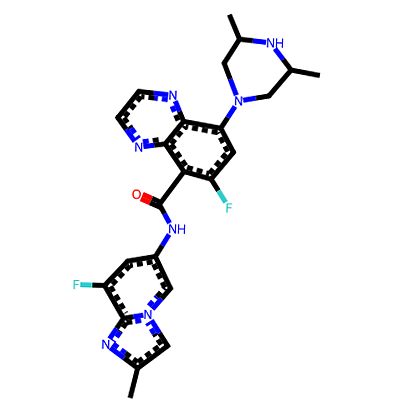 Cc1cn2cc(NC(=O)c3c(F)cc(N4CC(C)NC(C)C4)c4nccnc34)cc(F)c2n1